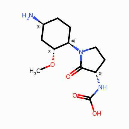 CO[C@@H]1C[C@@H](N)CC[C@H]1N1CC[C@H](NC(=O)O)C1=O